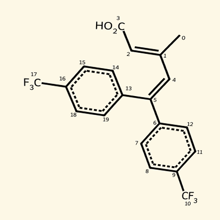 CC(=CC(=O)O)C=C(c1ccc(C(F)(F)F)cc1)c1ccc(C(F)(F)F)cc1